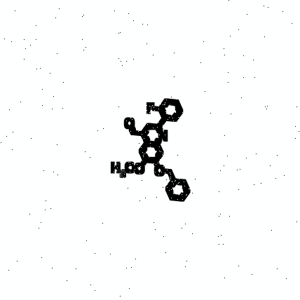 COc1cc2c(C=O)cc(-c3ccccc3F)nc2cc1OCc1ccccc1